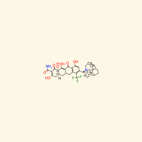 CCN(Cc1cc(O)c2c(c1C(F)(F)F)CC1C[C@H]3CC(O)=C(C(N)=O)C(=O)[C@@]3(O)C(O)=C1C2=O)[C@H]1CC2CCC1(C)C2(C)C